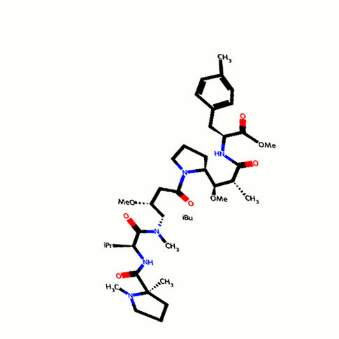 CC[C@H](C)[C@@H]([C@@H](CC(=O)N1CCC[C@H]1[C@H](OC)[C@@H](C)C(=O)N[C@@H](Cc1ccc(C)cc1)C(=O)OC)OC)N(C)C(=O)[C@@H](NC(=O)[C@@]1(C)CCCN1C)C(C)C